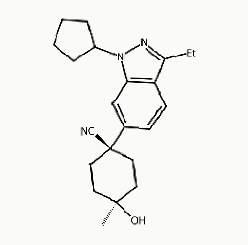 CCc1nn(C2CCCC2)c2cc([C@]3(C#N)CC[C@@](C)(O)CC3)ccc12